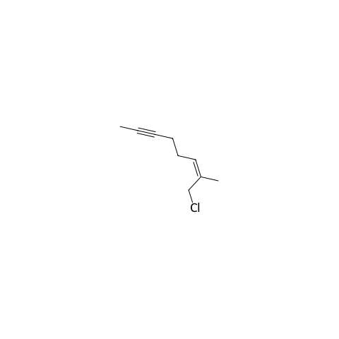 CC#CCCC=C(C)CCl